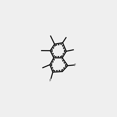 Cc1c(C)c(C)c2c(C)c(F)cc(F)c2c1C